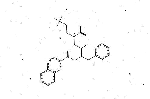 CC(=O)OC(CC(CCC(C)(C)F)C(N)=O)C(Cc1ccccc1)NC(=O)c1cnc2ccccc2n1